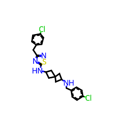 Clc1ccc(CNC2CC3(C2)CC(Nc2nc(Cc4ccc(Cl)cc4)ns2)C3)cc1